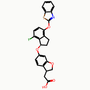 O=C(O)CC1COc2cc(O[C@@H]3CCc4c(Oc5nc6ccccc6s5)ccc(F)c43)ccc21